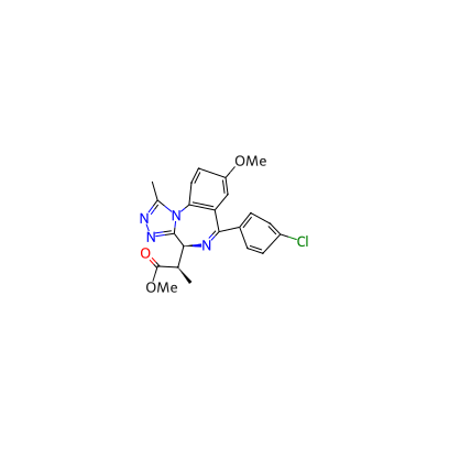 COC(=O)[C@H](C)[C@@H]1N=C(c2ccc(Cl)cc2)c2cc(OC)ccc2-n2c(C)nnc21